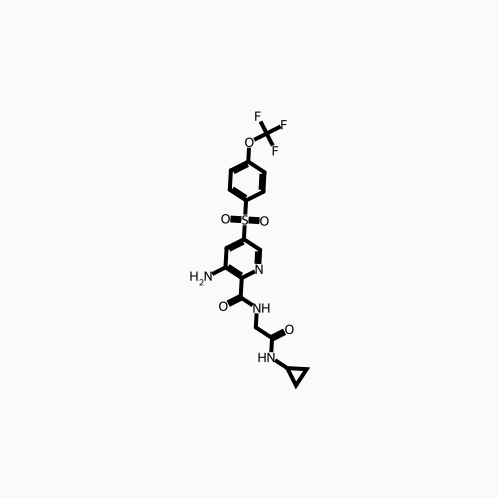 Nc1cc(S(=O)(=O)c2ccc(OC(F)(F)F)cc2)cnc1C(=O)NCC(=O)NC1CC1